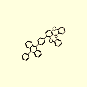 c1ccc(-c2c3ccccc3c(-c3ccc(-c4ccc5c6c4Oc4ccccc4B6c4ccccc4O5)cc3)c3ccccc23)cc1